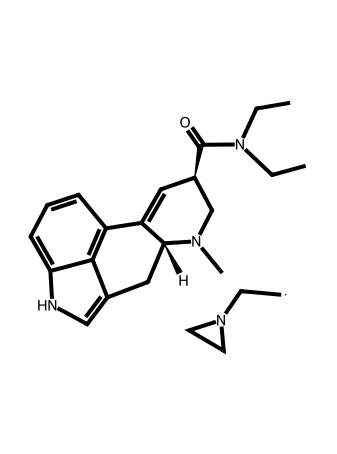 CCN(CC)C(=O)[C@@H]1C=C2c3cccc4[nH]cc(c34)C[C@H]2N(C)C1.[CH2]CN1CC1